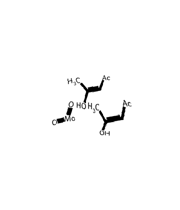 CC(=O)/C=C(\C)O.CC(=O)/C=C(\C)O.[O]=[Mo]=[O]